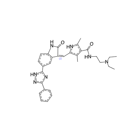 CCN(CC)CCNC(=O)c1c(C)[nH]c(/C=C2\C(=O)Nc3ccc(-c4nc(-c5ccccc5)n[nH]4)cc32)c1C